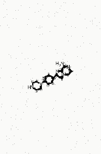 Nc1nccn2cc(-c3ccc(N4CCNCC4)cc3)nc12